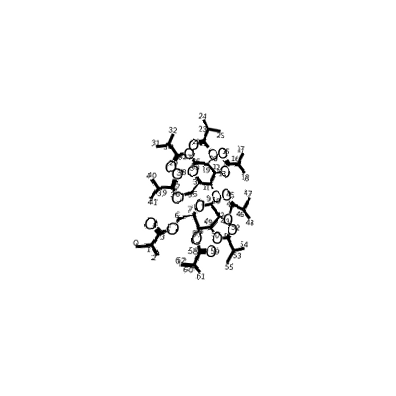 CC(C)C(=O)OC[C@H]1O[C@@H](O[C@H]2[C@H](OC(=O)C(C)C)[C@@H](OC(=O)C(C)C)[C@H](OC(=O)C(C)C)O[C@@H]2COC(=O)C(C)C)[C@H](OC(=O)C(C)C)[C@@H](OC(=O)C(C)C)[C@H]1OC(=O)C(C)C